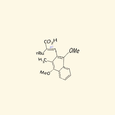 CCCC/C(=C\c1c(C)c(OC)c2ccccc2c1OC)C(=O)O